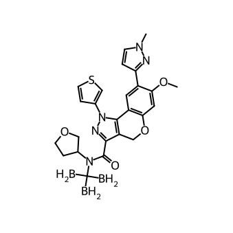 BC(B)(B)N(C(=O)c1nn(-c2ccsc2)c2c1COc1cc(OC)c(-c3ccn(C)n3)cc1-2)C1CCOC1